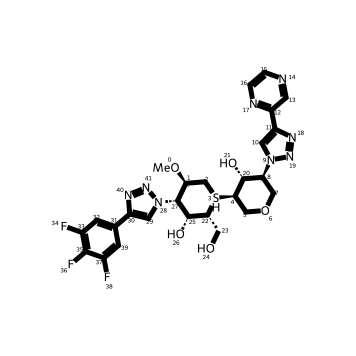 CO[C@H]1C[SH]([C@@H]2COC[C@H](n3cc(-c4cnccn4)nn3)[C@H]2O)[C@H](CO)[C@H](O)[C@@H]1n1cc(-c2cc(F)c(F)c(F)c2)nn1